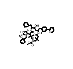 COC(=O)NCC(C)(C)CC(=O)NC(Cc1ccc(-c2ccccn2)cc1)CC(O)C(Cc1ccccc1)NC(=O)C(C1CNC(=O)N1Cc1ccccc1OC)C(C)(C)C